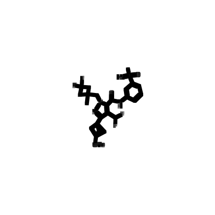 COC12CC(c3nn(CC4(C)CC(F)(F)C4)c(C(=O)Nc4cccc(S(C)(=N)=O)c4)c3C(F)F)(C1)C2